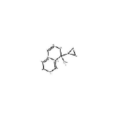 OC1(C2CC2)CC=CC2=CCCC=C21